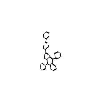 c1ccc(-c2ncc(-c3ccc4c(-c5ccccc5)c5ccccc5c(-c5ccccc5)c4c3)cn2)cc1